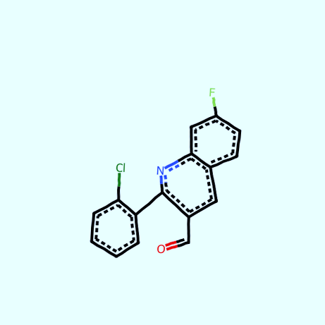 O=Cc1cc2ccc(F)cc2nc1-c1ccccc1Cl